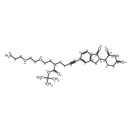 CC(C)(C)OC(=O)N(CCC#Cc1ccc2c(c1)CN(C1CCC(=O)NC1=O)C2=O)CCOCCOCCN